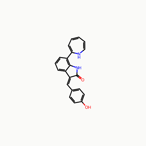 O=C1Nc2c(C3=CC=CC=CN3)cccc2C1=Cc1ccc(O)cc1